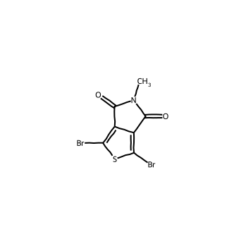 CN1C(=O)c2c(Br)sc(Br)c2C1=O